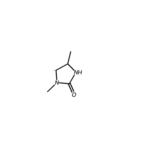 CC1[CH]N(C)C(=O)N1